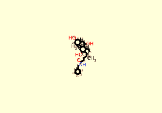 C[C@H](CCC(=O)NCc1ccccc1)[C@H]1CC[C@H]2[C@@H]3[C@H](O)C[C@@H]4C[C@H](O)CC[C@]4(C)[C@H]3C[C@H](O)[C@]12C